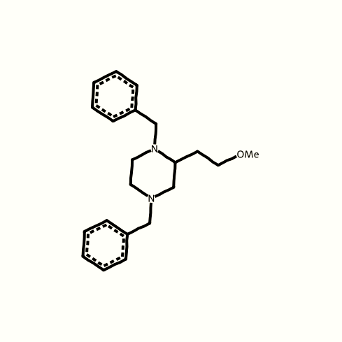 COCCC1CN(Cc2ccccc2)CCN1Cc1ccccc1